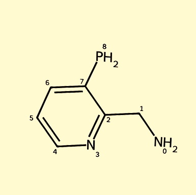 NCc1ncccc1P